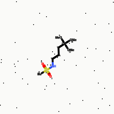 CCC(C)S(=O)(=O)NCCC[Si](OC)(OC)OC